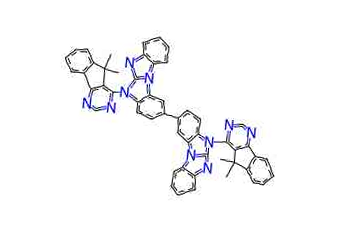 CC1(C)c2ccccc2-c2ncnc(-n3c4ccc(-c5ccc6c(c5)n5c7ccccc7nc5n6-c5ncnc6c5C(C)(C)c5ccccc5-6)cc4n4c5ccccc5nc34)c21